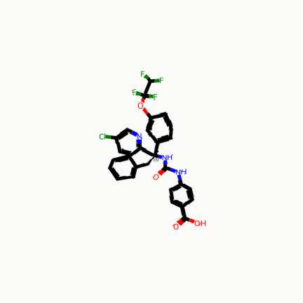 O=C(Nc1ccc(C(=O)O)cc1)N[C@@](Cc1ccccc1)(c1cccc(OC(F)(F)C(F)F)c1)c1ccc(Cl)cn1